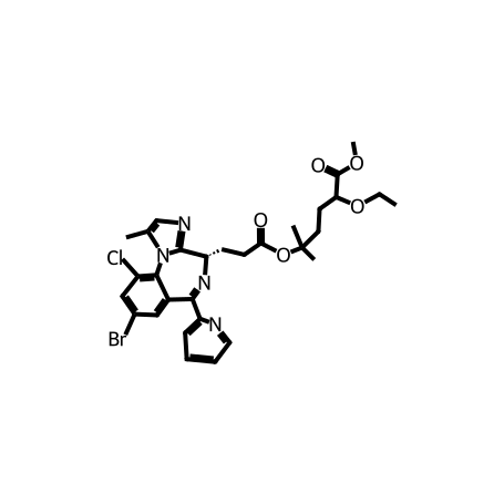 CCOC(CCC(C)(C)OC(=O)CC[C@@H]1N=C(c2ccccn2)c2cc(Br)cc(Cl)c2-n2c(C)cnc21)C(=O)OC